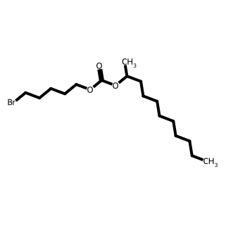 CCCCCCCCCC(C)OC(=O)OCCCCCBr